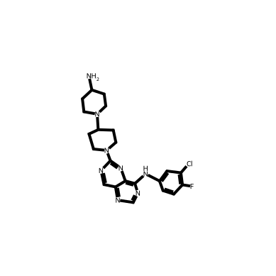 NC1CCN(C2CCN(c3ncc4ncnc(Nc5ccc(F)c(Cl)c5)c4n3)CC2)CC1